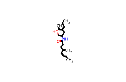 C=C/C=C\C(=C)CCC(=O)NC(CO)C/C(C=C)=C/C=C